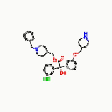 Cl.O=C(OCC1CCN(Cc2ccccc2)CC1)[C@](O)(c1ccccc1)c1cccc(OCC2CCNCC2)c1